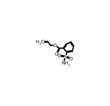 C=CCOC(=O)c1ccccc1S(N)(=O)=O